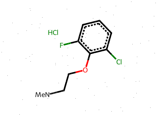 CNCCOc1c(F)cccc1Cl.Cl